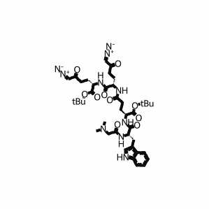 CN(C)CC(=O)N[C@@H](Cc1c[nH]c2ccccc12)C(=O)N[C@@H](CCC(=O)N[C@@H](CCC(=O)C=[N+]=[N-])C(=O)N[C@@H](CCC(=O)C=[N+]=[N-])C(=O)OC(C)(C)C)C(=O)OC(C)(C)C